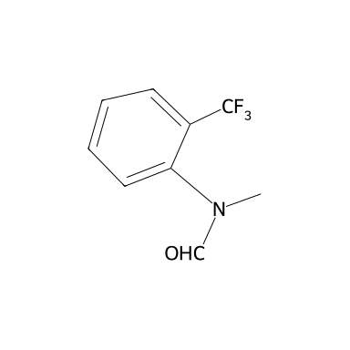 CN(C=O)c1ccccc1C(F)(F)F